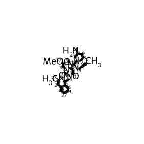 CC#CCn1c(N2CCCC(N)C2)nc2c1c(=O)n(Cc1nc(C)cc3ccccc13)c(=O)n2CC(=O)OC